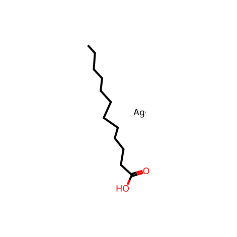 CCCCCCCCCCCC(=O)O.[Ag]